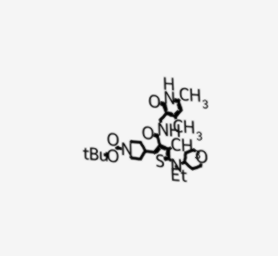 CCN(c1sc(C2CCN(C(=O)OC(C)(C)C)CC2)c(C(=O)NCc2c(C)cc(C)[nH]c2=O)c1C)C1CCOCC1